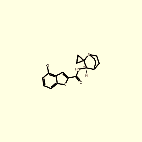 O=C(N[C@@H]1C2CCN(CC2)C12CC2)c1cc2c(Cl)cccc2s1